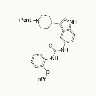 CCCOc1ccccc1NC(=O)Nc1ccc2[nH]cc(C3CCN(C(C)CCC)CC3)c2c1